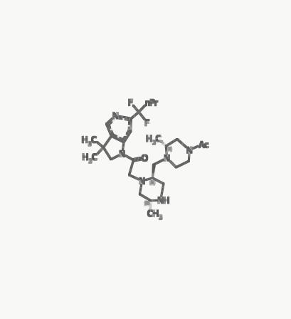 CCCC(F)(F)c1cc2c(cn1)C(C)(C)CN2C(=O)CN1C[C@@H](C)NC[C@@H]1CN1CCN(C(C)=O)C[C@H]1C